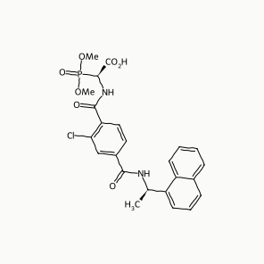 COP(=O)(OC)[C@H](NC(=O)c1ccc(C(=O)N[C@H](C)c2cccc3ccccc23)cc1Cl)C(=O)O